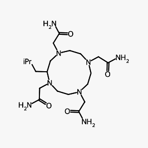 CC(C)CC1CN(CC(N)=O)CCN(CC(N)=O)CCN(CC(N)=O)CCN1CC(N)=O